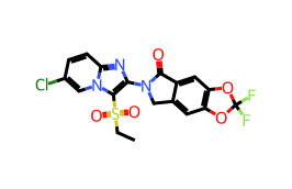 CCS(=O)(=O)c1c(N2Cc3cc4c(cc3C2=O)OC(F)(F)O4)nc2ccc(Cl)cn12